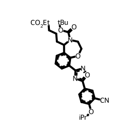 CCOC(=O)CCCC1c2cccc(-c3noc(-c4ccc(OC(C)C)c(C#N)c4)n3)c2OCCN1C(=O)OC(C)(C)C